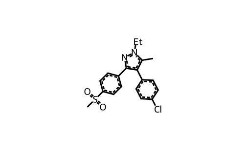 CCn1nc(-c2ccc(S(C)(=O)=O)cc2)c(-c2ccc(Cl)cc2)c1C